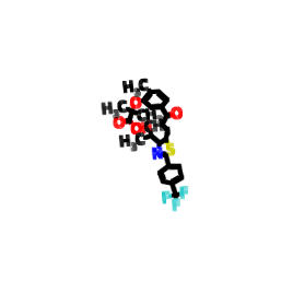 Cc1ccc(C(=O)CCC2SC(c3ccc(C(F)(F)F)cc3)=NC2C(C)C)cc1OC(C)(C)C(=O)O